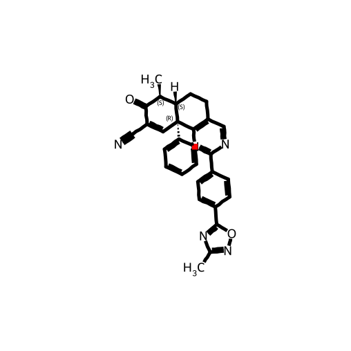 Cc1noc(-c2ccc(-c3ncc4c(n3)[C@@]3(c5ccccc5)C=C(C#N)C(=O)[C@@H](C)[C@@H]3CC4)cc2)n1